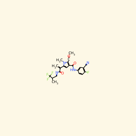 C=C(C(=O)/N=C/C(C)C(F)(F)F)c1cc(C(=O)Nc2ccc(F)c(C#N)c2)c(COC)n1C